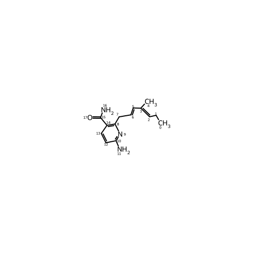 CCC=C(C)C=CCc1nc(N)ccc1C(N)=O